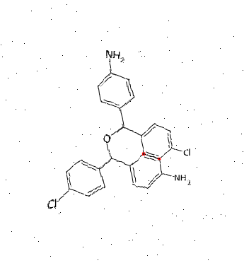 Nc1ccc(C(OC(c2ccc(N)cc2)c2ccc(Cl)cc2)c2ccc(Cl)cc2)cc1